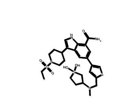 CCS(=O)(=O)N1CCC(c2c[nH]c3c(C(N)=O)cc(-c4csc(CN(C)C5CCS(O)(O)C5)c4)cc23)CC1